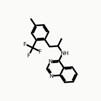 Cc1ccc(CC(C)Nc2ncnc3ccccc23)c(C(F)(F)F)c1